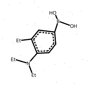 CCc1cc(B(O)O)ccc1N(CC)CC